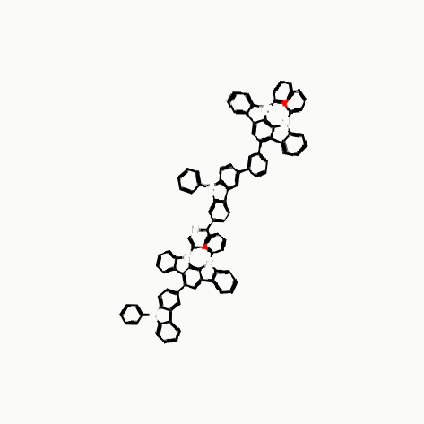 c1ccc(-n2c3ccccc3c3cc(-c4cc5c6ccccc6n(-c6ccccc6)c5c5c4c4ccccc4n5-c4ccc(-c5ccc6c7cc(-c8cccc(-c9cc%10c%11ccccc%11n(-c%11ccccc%11)c%10c%10c9c9ccccc9n%10-c9ccccc9)c8)ccc7n(-c7ccccc7)c6c5)nc4)ccc32)cc1